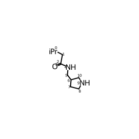 CC(C)CC(=O)NCC1CCNC1